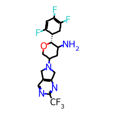 NC1CC(N2Cc3cnc(C(F)(F)F)nc3C2)CO[C@@H]1C1CC(F)=C(F)C=C1F